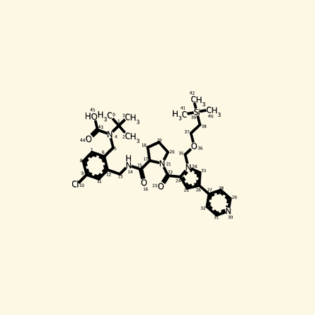 CC(C)(C)N(Cc1ccc(Cl)cc1CNC(=O)C1CCCN1C(=O)c1cc(-c2ccncc2)cn1COCC[Si](C)(C)C)C(=O)O